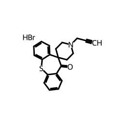 Br.C#CCN1CCC2(CC1)C(=O)c1ccccc1Sc1ccccc12